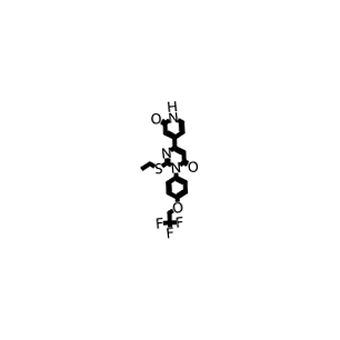 CCSc1nc(-c2cc[nH]c(=O)c2)cc(=O)n1-c1ccc(OCC(F)(F)F)cc1